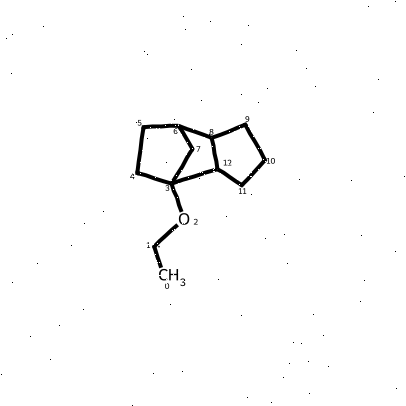 C[CH]OC12CCC(C1)C1CCCC12